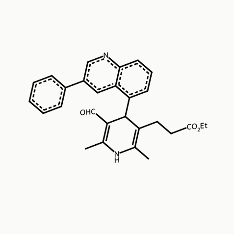 CCOC(=O)CCC1=C(C)NC(C)=C(C=O)C1c1cccc2ncc(-c3ccccc3)cc12